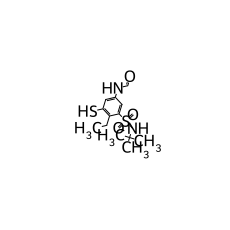 CCc1c(S)cc(NC=O)cc1S(=O)(=O)NC(C)(C)C